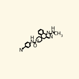 CNc1ncc2c(n1)-c1ccccc1C1(CCN(C(=O)Nc3ccc(C#N)cc3)CC1)C2